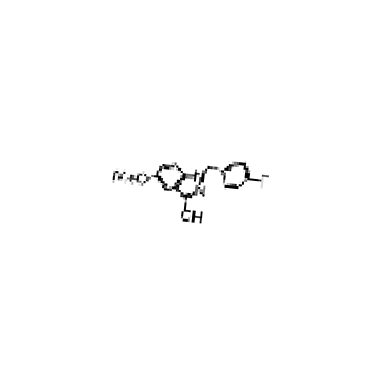 COc1ccc2c(c1)c(O)nn2Cc1ccc(F)cc1